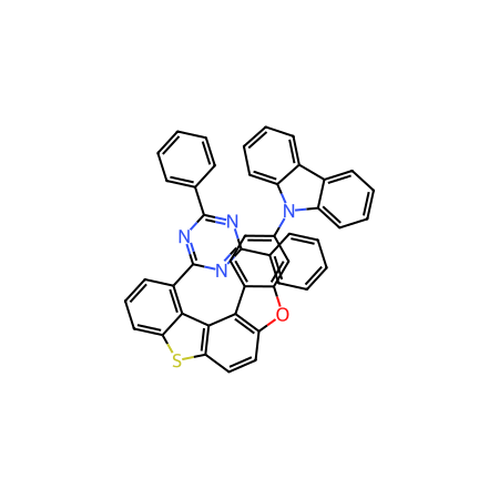 c1ccc(-c2nc(-c3ccccc3)nc(-c3cccc4sc5ccc6oc7cc(-n8c9ccccc9c9ccccc98)ccc7c6c5c34)n2)cc1